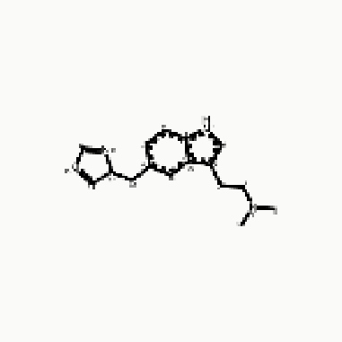 CN(C)CCc1c[nH]c2ccc(CC3C=NC=N3)cc12